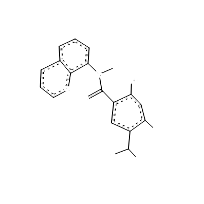 CC(C)c1cc(C(=O)N(C)c2cccc3cccnc23)c(O)cc1O